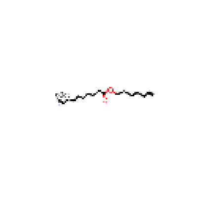 C=CCCCCCOC(=O)CCCCCCC/C=C\CCCCCCCC